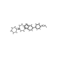 Cc1ccc(-c2ccc3c(c2)nc2n3CCN(C3CCCCC3)CC2)cc1